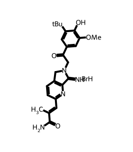 Br.COc1cc(C(=O)CN2Cc3ccc(/C=C(\C)C(N)=O)nc3C2=N)cc(C(C)(C)C)c1O